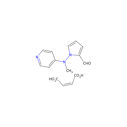 CN(c1ccncc1)n1cccc1C=O.O=C(O)/C=C\C(=O)O